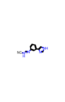 N#CN/C=N/c1cccc(-c2c[nH]cn2)c1